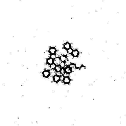 C=C(C)N(C(=C)/C=C\C=C/CC)c1nc(-n2c3ccccc3c3ccccc32)nc(-n2c3ccccc3c3ccc4c(c5ccc([Si](c6ccccc6)(c6ccccc6)c6ccccc6)cc5n4-c4ccccc4)c32)n1